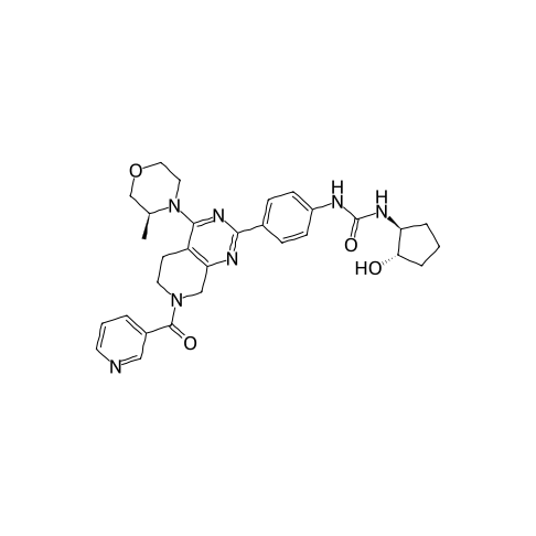 C[C@H]1COCCN1c1nc(-c2ccc(NC(=O)N[C@H]3CCC[C@@H]3O)cc2)nc2c1CCN(C(=O)c1cccnc1)C2